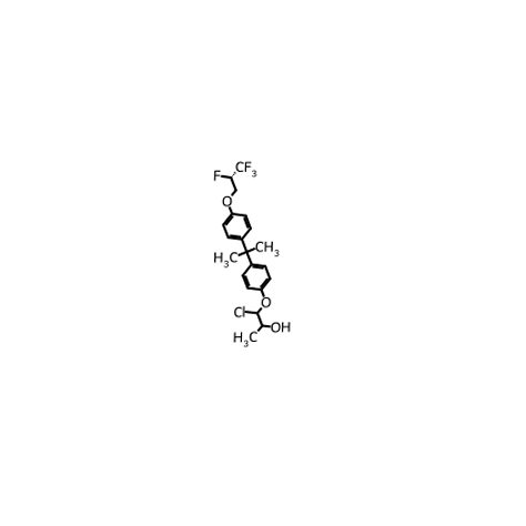 CC(O)C(Cl)Oc1ccc(C(C)(C)c2ccc(OC[C@H](F)C(F)(F)F)cc2)cc1